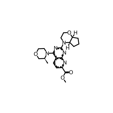 COC(=O)c1ccc2c(N3CCOC[C@@H]3C)nc(N3CCO[C@@H]4CCC[C@@H]43)nc2n1